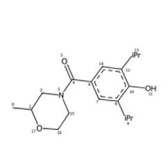 CC1CN(C(=O)c2cc(C(C)C)c(O)c(C(C)C)c2)CCO1